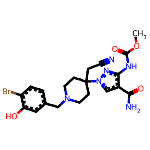 COC(=O)Nc1nn(C2(CC#N)CCN(Cc3ccc(Br)c(O)c3)CC2)cc1C(N)=O